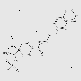 CS(=O)(=O)NC(C(=O)O)C1(O)CCN(C(=O)NCCCc2ccc3c(n2)NCCC3)CC1